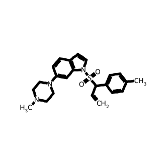 C=CC(c1ccc(C)cc1)S(=O)(=O)n1ccc2ccc(N3CCN(C)CC3)cc21